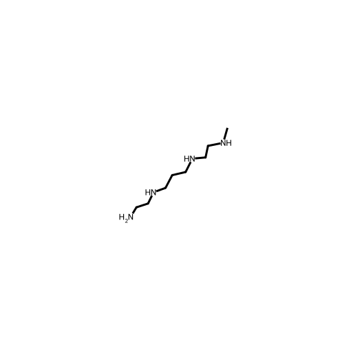 CNCCNCCCNCCN